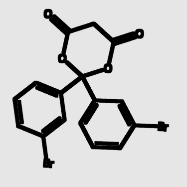 O=C1CC(=O)OC(c2cccc(Br)c2)(c2cccc(Br)c2)O1